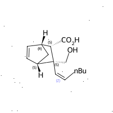 CCCC/C=C\[C@@]1(CO)[C@@H]2C=C[C@@H](C2)[C@@H]1C(=O)O